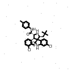 Cc1ccc(NC(=O)[C@@H]2N[C@@H](CC(C)(C)C)C3(C(=O)Nc4cc(Cl)ccc43)[C@H]2c2cccc(Cl)c2F)cc1